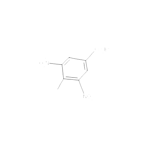 CCOC(=O)c1cc([N+](=O)[O-])c(C)c([N+](=O)[O-])c1